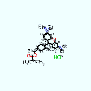 C=C(C)C(=O)OC(CC)c1ccc(C2=C3C=CC(N(CC)CC)C=C3Oc3cc(N(CC)CC)ccc32)c(C(=O)O)c1.Cl